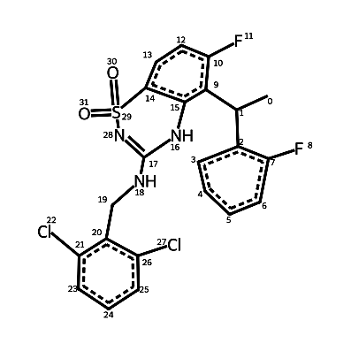 CC(c1ccccc1F)c1c(F)ccc2c1NC(NCc1c(Cl)cccc1Cl)=NS2(=O)=O